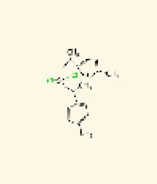 Cc1ccc(C(C)C[Si](Cl)(Cl)CC(C)c2ccc(C)cc2)cc1